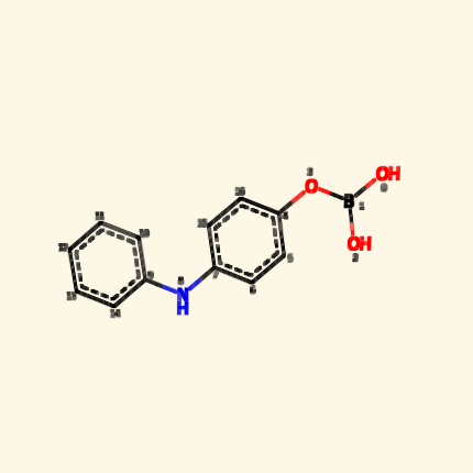 OB(O)Oc1ccc(Nc2ccccc2)cc1